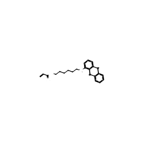 C=CC(=O)OCCCCCCNc1cccc2c1C(=O)c1ccccc1C2=O